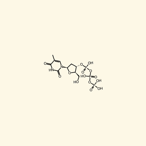 Cc1cn([C@H]2C[C@H](OP(=O)(O)OP(=O)(O)OP(=O)(O)O)[C@@H](CO)O2)c(=O)[nH]c1=O